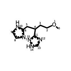 COCCC(Cc1ncc[nH]1)c1n[c][nH]n1